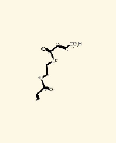 C=CC(=O)OCCOC(=O)C=CC(=O)O